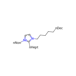 CCCCCCCCCCCCCCCn1cc[n+](CCCCCCCCC)c1CCCCCCC